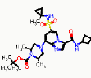 C[C@H]1CN(c2cc(S(=O)(=O)NC3(C)CC3)cn3c(C(=O)NC4CCC4)cnc23)C[C@H](C)N1C(=O)OC(C)(C)C